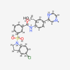 O=C(Nc1ccc(-c2cnccn2)cc1C(=O)O)c1cccc(S(=O)(=O)N2CCc3cc(Cl)ccc32)c1